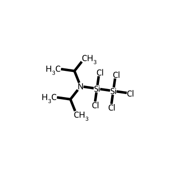 CC(C)N(C(C)C)[Si](Cl)(Cl)[Si](Cl)(Cl)Cl